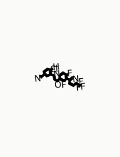 N#Cc1ccc(Cl)c(-c2cc(=O)c3c(F)c(-c4ccc(C(F)(F)F)nc4)c(F)cc3[nH]2)c1